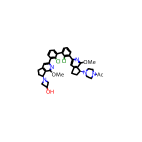 COc1nc(-c2cccc(-c3cccc(-c4cc5c(c(OC)n4)[C@@H](N4CC(O)C4)CC5)c3Cl)c2Cl)cc2c1[C@@H](N1CCN(C(C)=O)CC1)CC2